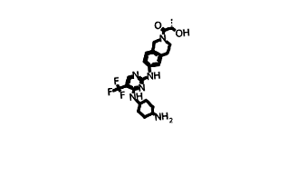 C[C@H](O)C(=O)N1CCc2cc(Nc3ncc(C(F)(F)F)c(NC4CCC(N)CC4)n3)ccc2C1